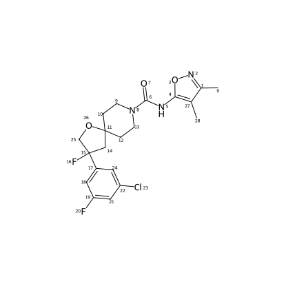 Cc1noc(NC(=O)N2CCC3(CC2)CC(F)(c2cc(F)cc(Cl)c2)CO3)c1C